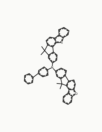 CC1(C)c2cc(N(c3ccc(-c4ccccc4)cc3)c3ccc4c(c3)C(C)(C)c3c-4ccc4oc5ccccc5c34)ccc2-c2c1ccc1c2sc2ccccc21